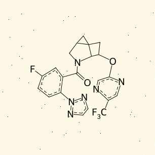 O=C(c1cc(F)ccc1-n1nccn1)N1CC2CC23CC(Oc2cnc(C(F)(F)F)cn2)C13